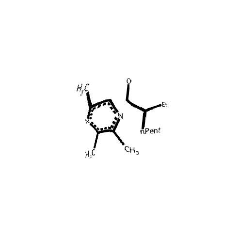 CCCCCC(CC)C[O].Cc1cnc(C)c(C)n1